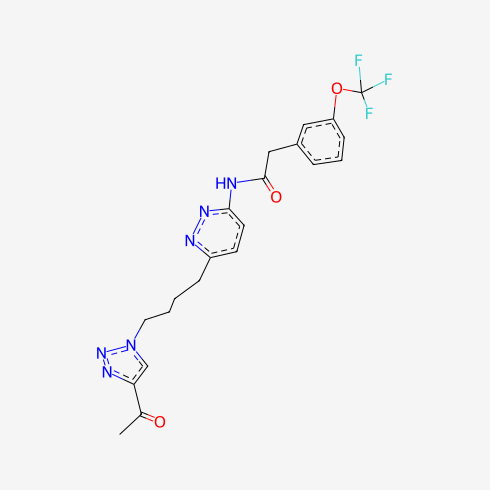 CC(=O)c1cn(CCCCc2ccc(NC(=O)Cc3cccc(OC(F)(F)F)c3)nn2)nn1